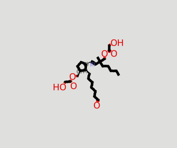 CCCCCC(C)(/C=C/[C@H]1CC[C@H](COC(=O)CO)[C@@H]1CCCCCCC=O)COC(=O)CO